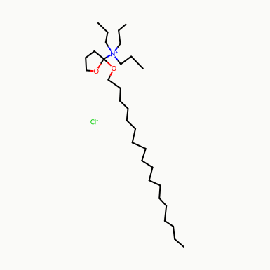 CCCCCCCCCCCCCCCCCCOC1([N+](CCC)(CCC)CCC)CCCO1.[Cl-]